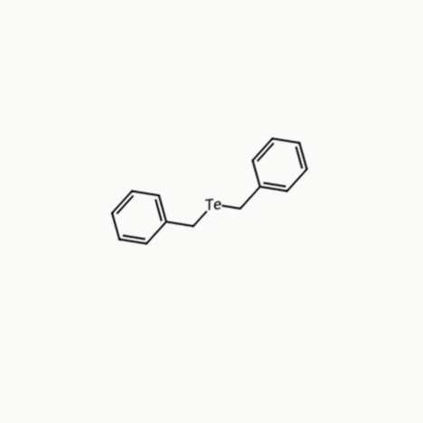 c1ccc(C[Te]Cc2ccccc2)cc1